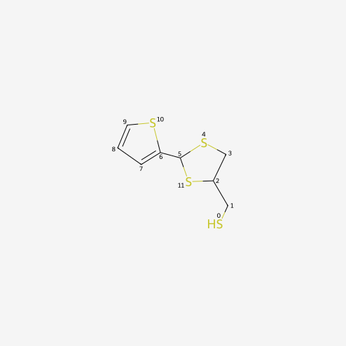 SCC1CSC(c2cccs2)S1